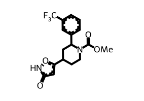 COC(=O)N1CCC(c2cc(=O)[nH]o2)CC1c1cccc(C(F)(F)F)c1